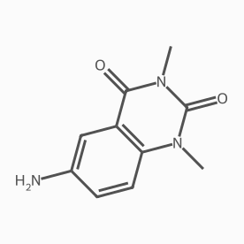 Cn1c(=O)c2cc(N)ccc2n(C)c1=O